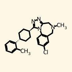 Cc1ccccc1[C@H]1CC[C@H](c2nnc3n2-c2ccc(Cl)cc2CN(C)C3)CC1